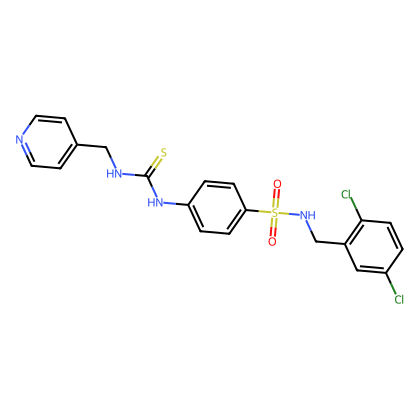 O=S(=O)(NCc1cc(Cl)ccc1Cl)c1ccc(NC(=S)NCc2ccncc2)cc1